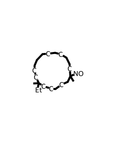 CCC1(C)CCCCCCCCCCCC(C)(N=O)CCCCC1